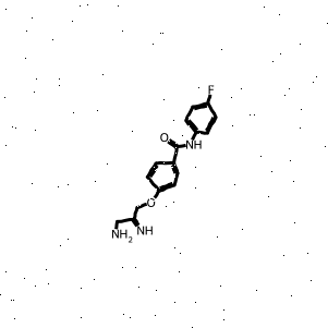 N=C(CN)COc1ccc(C(=O)Nc2ccc(F)cc2)cc1